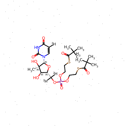 [2H]c1cn([C@@H]2O[C@H](C([2H])([2H])OP(=O)(OCCSC(=O)C(C)(C)C)OCCSC(=O)C(C)(C)C)[C@@H](O)[C@@]2(C)O)c(=O)[nH]c1=O